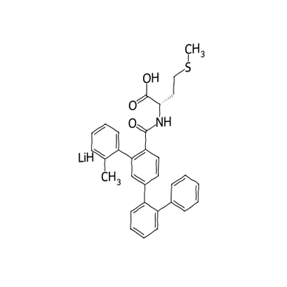 CSCC[C@H](NC(=O)c1ccc(-c2ccccc2-c2ccccc2)cc1-c1ccccc1C)C(=O)O.[LiH]